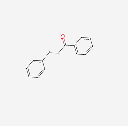 O=C(C[CH]c1ccccc1)c1ccccc1